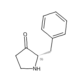 O=C1CCN[C@H]1Cc1ccccc1